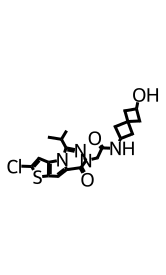 CC(C)c1nn(CC(=O)NC2CC3(CC(O)C3)C2)c(=O)c2cc3sc(Cl)cc3n12